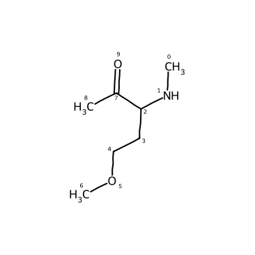 CNC(CCOC)C(C)=O